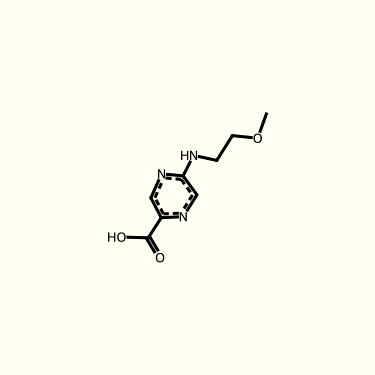 COCCNc1cnc(C(=O)O)cn1